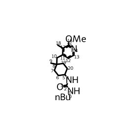 CCCCNC(=O)NC1CCC(C)(Cc2ccnc(OC)c2C)CC1